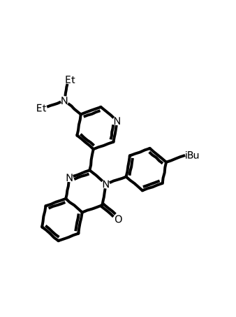 CCC(C)c1ccc(-n2c(-c3cncc(N(CC)CC)c3)nc3ccccc3c2=O)cc1